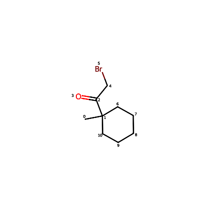 CC1(C(=O)CBr)CCCCC1